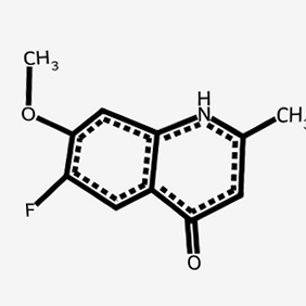 COc1cc2[nH]c(C)cc(=O)c2cc1F